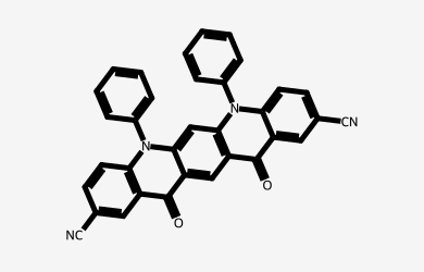 N#Cc1ccc2c(c1)c(=O)c1cc3c(=O)c4cc(C#N)ccc4n(-c4ccccc4)c3cc1n2-c1ccccc1